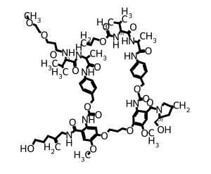 C=CCOC(=O)N[C@H](C(=O)NC(C)C(=O)Nc1ccc(COC(=O)Nc2cc(OCCCOc3cc(NC(=O)OCc4ccc(NC(=O)C(C)NC(=O)[C@@H](NC(=O)CCOCCOC)C(C)C)cc4)c(C(=O)NCC(=C)CCCO)cc3OC)c(OC)cc2C(=O)N2CC(=C)C[C@H]2CO)cc1)C(C)C